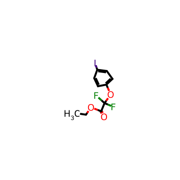 CCOC(=O)C(F)(F)Oc1ccc(I)cc1